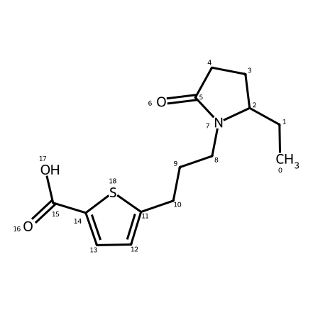 CCC1CCC(=O)N1CCCc1ccc(C(=O)O)s1